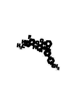 Cc1cc2c(F)c(Oc3ncnc(Nc4ccc(N5CCN(C)CC5)cn4)c3C(=O)N3CCCCC3)cc(F)c2[nH]1